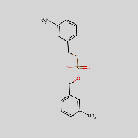 O=[N+]([O-])c1cccc(COS(=O)(=O)SCc2cccc([N+](=O)[O-])c2)c1